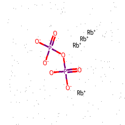 O=P([O-])([O-])OP(=O)([O-])[O-].[Rb+].[Rb+].[Rb+].[Rb+]